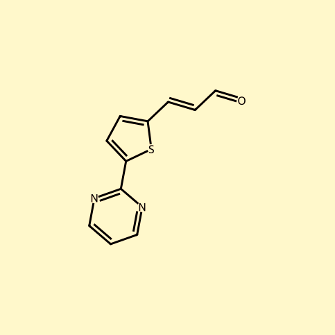 O=CC=Cc1ccc(-c2ncccn2)s1